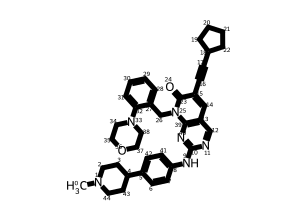 CN1CCC(c2ccc(Nc3ncc4cc(C#CC5CCCC5)c(=O)n(Cc5ccccc5N5CCOCC5)c4n3)cc2)CC1